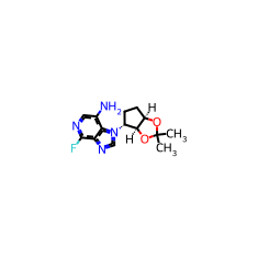 CC1(C)O[C@H]2[C@H](n3cnc4c(F)ncc(N)c43)CC[C@H]2O1